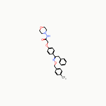 O=C(COc1ccc(/C(Cc2ccccc2)=N/OCc2ccc(C(F)(F)F)cc2)cc1)NN1CCOCC1